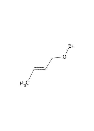 [CH2]COCC=CC